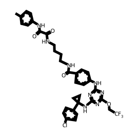 Cc1ccc(NC(=O)C(=O)NCCCCNC(=O)c2ccc(Nc3nc(NC4(c5ccc(Cl)cc5)CC4)nc(OCC(F)(F)F)n3)cc2)cc1